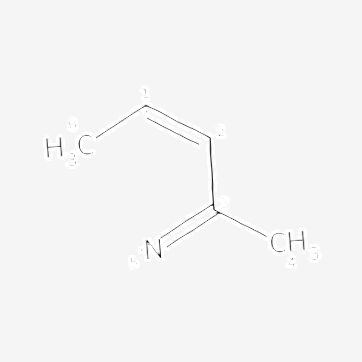 C/[C]=C\C(C)=[N]